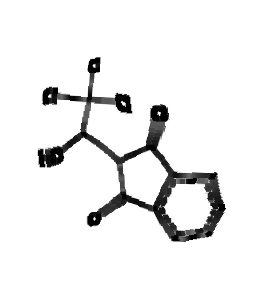 O=C1c2ccccc2C(=O)C1C(O)C(Cl)(Cl)Cl